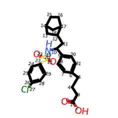 O=C(O)CCCc1ccc(C(CC2CC3CCC2C3)NS(=O)(=O)c2ccc(Cl)cc2)cc1